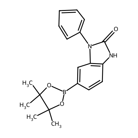 CC1(C)OB(c2ccc3[nH]c(=O)n(-c4ccccc4)c3c2)OC1(C)C